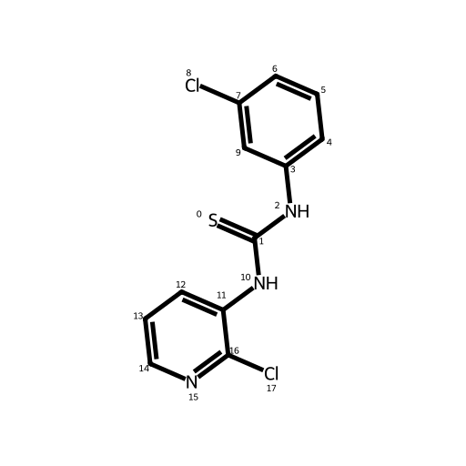 S=C(Nc1cccc(Cl)c1)Nc1cccnc1Cl